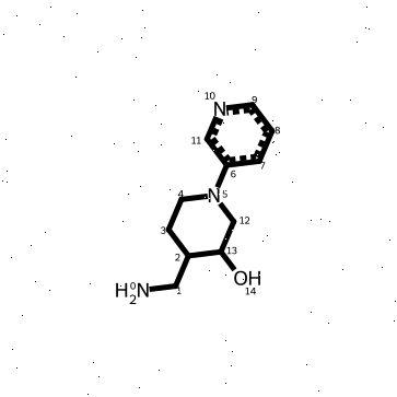 NCC1CCN(c2cccnc2)CC1O